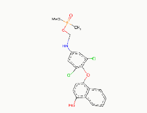 COP(C)(=O)OCNc1cc(Cl)c(Oc2ccc(O)c3ccccc23)c(Cl)c1